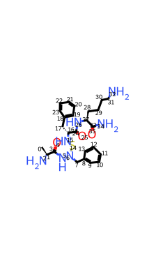 C[C@H](N)C(=O)NN(Cc1ccccc1)SN[C@H](Cc1ccccc1)C(=O)N[C@@H](CCCCN)C(N)=O